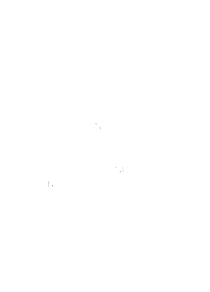 Cc1cccc(NCCN(C)C)c1[N+](=O)[O-]